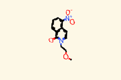 COCCn1ccc2c([N+](=O)[O-])cccc2c1=O